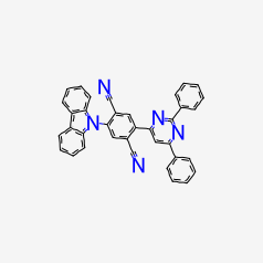 N#Cc1cc(-n2c3ccccc3c3ccccc32)c(C#N)cc1-c1cc(-c2ccccc2)nc(-c2ccccc2)n1